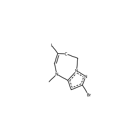 CN1C=C(I)CCn2nc(Br)cc21